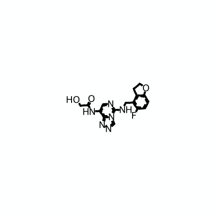 O=C(CO)Nc1cnc(NCc2c(F)ccc3c2CCO3)n2cnnc12